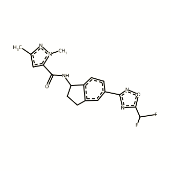 Cc1cc(C(=O)NC2CCc3cc(-c4noc(C(F)F)n4)ccc32)n(C)n1